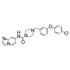 O=C(Nc1ccn2ccnc2c1)N1CCN(Cc2cccc(Oc3ccc(Cl)cc3)c2)CC1